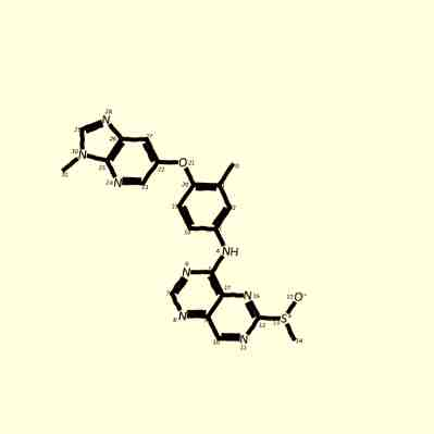 Cc1cc(Nc2ncnc3cnc([S+](C)[O-])nc23)ccc1Oc1cnc2c(c1)ncn2C